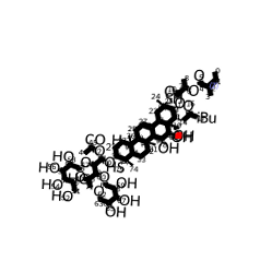 C/C=C(/C)C(=O)OC(C)C(=O)O[C@H]1[C@H](CC(=O)C(C)CC)[C@@]2(CO)C(C[C@]1(C)S)C1=CCC3[C@@](C)(CCC4[C@]3(C)CC[C@H](OC(OC(C)C(=O)O)C(OC3OC(CO)C(O)C(O)C3O)C(OC3OCC(O)C(O)C3O)C(C)O)[C@@]4(C)S)C1[C@@H](O)[C@H]2O